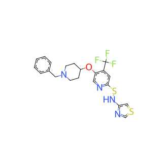 FC(F)(F)c1cc(SNc2cscn2)ncc1OC1CCN(Cc2ccccc2)CC1